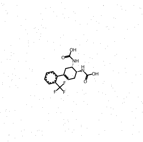 O=C(O)N[C@H]1CC=C(c2ccccc2C(F)(F)F)C[C@@H]1NC(=O)O